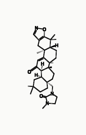 CN1CCN(C[C@]23CCC(C)(C)C[C@H]2[C@H]2C(=O)C=C4[C@@]5(C)Cc6cnoc6C(C)(C)[C@@H]5CC[C@@]4(C)[C@]2(C)CC3)C1=O